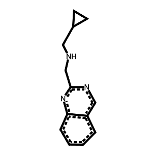 c1ccc2nc(CNCC3CC3)ncc2c1